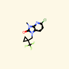 Cn1c(=O)n(CC2(C(F)(F)F)CC2)c2ccc(Cl)nc21